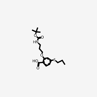 CCCSc1ccc(C(=O)O)c(OCCCNC(=O)OC(C)(C)C)c1